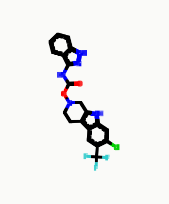 O=C(Nc1n[nH]c2ccccc12)ON1CCc2c([nH]c3cc(Cl)c(C(F)(F)F)cc23)C1